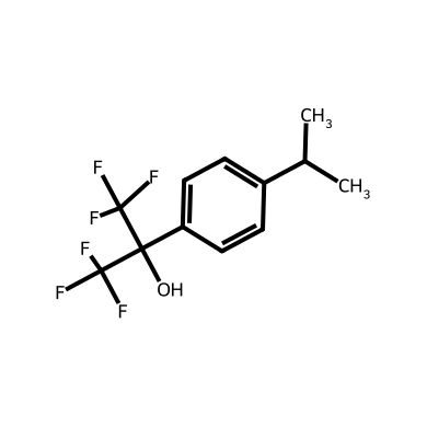 CC(C)c1ccc(C(O)(C(F)(F)F)C(F)(F)F)cc1